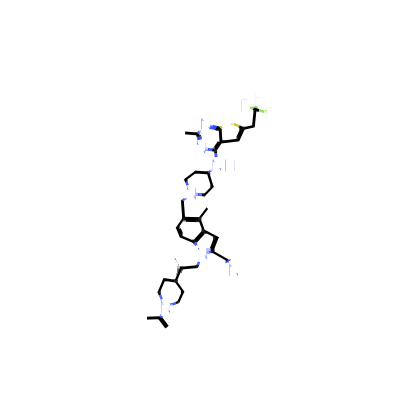 C=C(C)N1CCC([C@@H](C)Cn2c(C#N)cc3c(C)c(CN4CCC(Nc5nc(C)nc6sc(CC(F)(F)F)cc56)CC4)ccc32)CC1